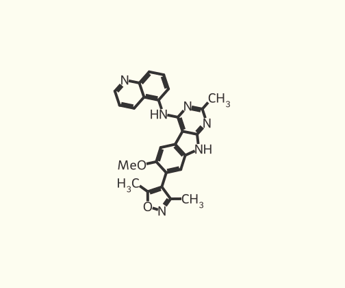 COc1cc2c(cc1-c1c(C)noc1C)[nH]c1nc(C)nc(Nc3cccc4ncccc34)c12